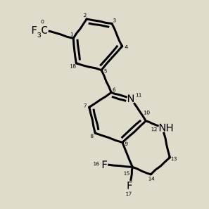 FC(F)(F)c1cccc(-c2ccc3c(n2)NCCC3(F)F)c1